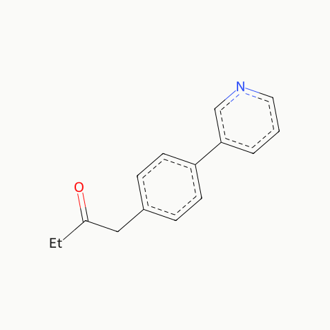 CCC(=O)Cc1ccc(-c2cccnc2)cc1